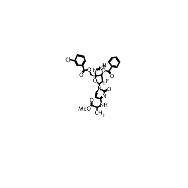 COC(=O)C(C)Nc1ccn(C2O[C@@](COC(=O)c3cccc(Cl)c3)(N=[N+]=[N-])C(OC(=O)c3ccccc3)[C@@H]2F)c(=O)n1